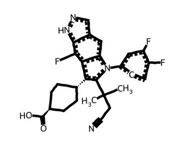 CC(C)(CC#N)c1c([C@H]2CC[C@H](C(=O)O)CC2)c2c(F)c3[nH]ncc3cc2n1-c1ccc(F)c(F)c1